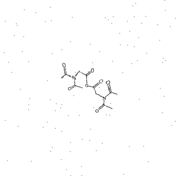 CC(=O)N(CC(=O)OC(=O)CN(C(C)=O)C(C)=O)C(C)=O